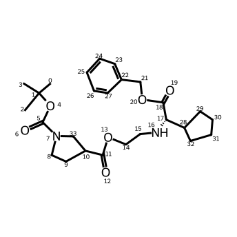 CC(C)(C)OC(=O)N1CCC(C(=O)OCCN[C@H](C(=O)OCc2ccccc2)C2CCCC2)C1